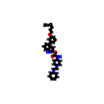 COCCCOc1cccc(-c2cccc3[nH]c(OC(=O)NC4CCN(CCN5CCCCCC5)CC4)cc23)c1